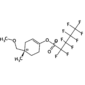 COC[C@]1(C)CC=C(OS(=O)(=O)C(F)(F)C(F)(F)C(F)(F)C(F)(F)F)CC1